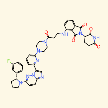 O=C1CCC(N2C(=O)c3cccc(NCCC(=O)N4CCN(c5cccc(-c6cnc7ccc(N8CCC[C@@H]8c8cccc(F)c8)nn67)n5)CC4)c3C2=O)C(=O)N1